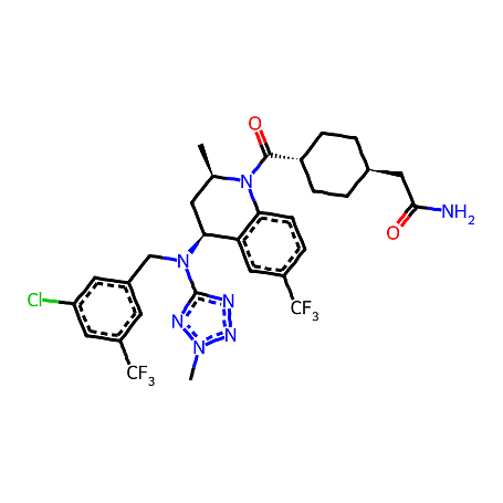 C[C@@H]1C[C@H](N(Cc2cc(Cl)cc(C(F)(F)F)c2)c2nnn(C)n2)c2cc(C(F)(F)F)ccc2N1C(=O)[C@H]1CC[C@H](CC(N)=O)CC1